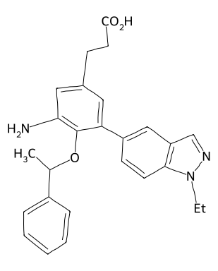 CCn1ncc2cc(-c3cc(CCC(=O)O)cc(N)c3OC(C)c3ccccc3)ccc21